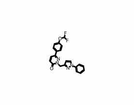 O=c1ccc(-c2ccc(OC(F)F)cc2)nn1Cc1ccn(-c2ccccc2)n1